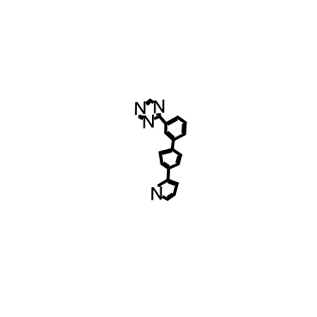 c1cncc(-c2ccc(-c3cccc(-c4ncncn4)c3)cc2)c1